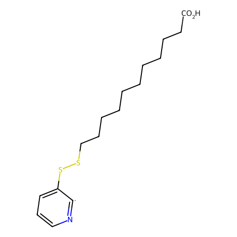 O=C(O)CCCCCCCCCCSSc1[c]nccc1